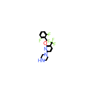 Fc1cccc(F)c1COc1nc(N2CCNCC2)ccc1C(F)(F)F